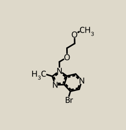 COCCOCn1c(C)nc2c(Br)cncc21